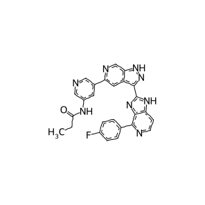 CCC(=O)Nc1cncc(-c2cc3c(-c4nc5c(-c6ccc(F)cc6)nccc5[nH]4)n[nH]c3cn2)c1